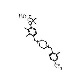 Cc1cc(C(F)(F)F)ccc1CN1CCN(Cc2ccc(OC(C)(C)C(=O)O)c(C)c2C)CC1